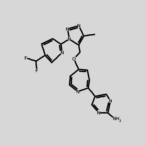 Cc1nnn(-c2ccc(C(F)F)cn2)c1COC1=CC=C(c2cnc(N)nc2)N=C=C1